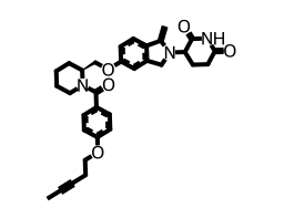 C=C1c2ccc(OC[C@@H]3CCCCN3C(=O)c3ccc(OCCC#CC)cc3)cc2CN1C1CCC(=O)NC1=O